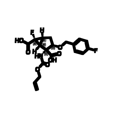 C=CCOC(=O)N[C@@]1(C(=O)O)[C@H](OCc2ccc(F)cc2)C[C@@H]2[C@H]1[C@@]2(F)C(=O)O